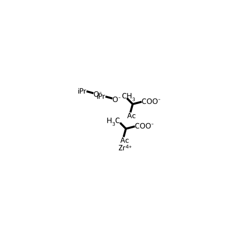 CC(=O)C(C)C(=O)[O-].CC(=O)C(C)C(=O)[O-].CC(C)[O-].CC(C)[O-].[Zr+4]